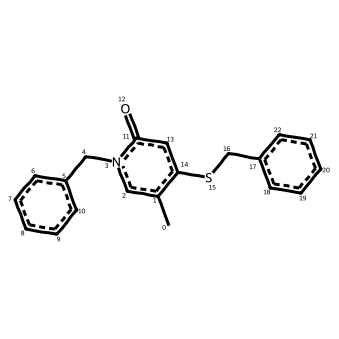 Cc1cn(Cc2ccccc2)c(=O)cc1SCc1ccccc1